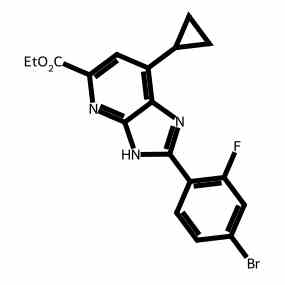 CCOC(=O)c1cc(C2CC2)c2nc(-c3ccc(Br)cc3F)[nH]c2n1